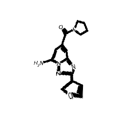 Nc1cc(C(=O)N2CCCC2)cc2nc(-c3ccoc3)nn12